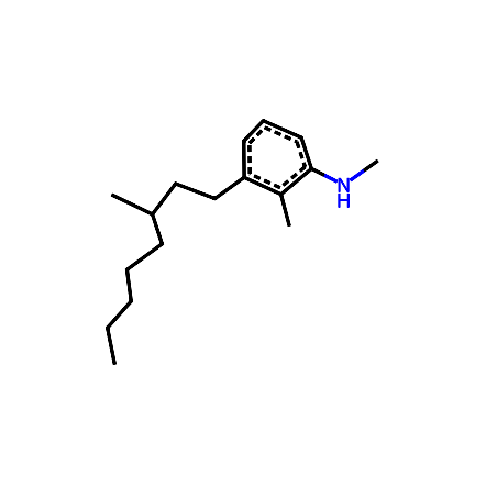 CCCCCC(C)CCc1cccc(NC)c1C